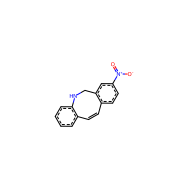 O=[N+]([O-])c1ccc2c(c1)CNc1ccccc1/C=C\2